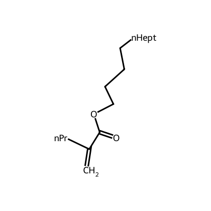 C=C(CCC)C(=O)OCCCCCCCCCCC